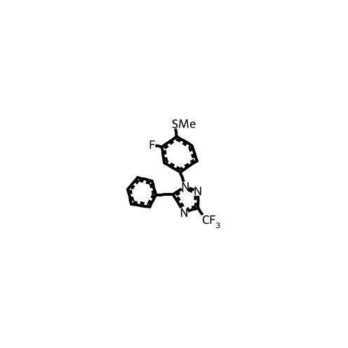 CSc1ccc(-n2nc(C(F)(F)F)nc2-c2ccccc2)cc1F